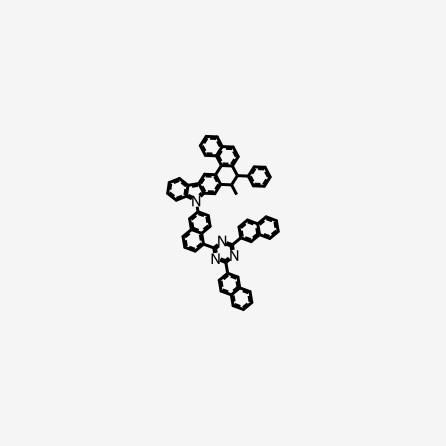 CC1c2cc3c(cc2-c2c(ccc4ccccc24)C1c1ccccc1)c1ccccc1n3-c1ccc2c(-c3nc(-c4ccc5ccccc5c4)nc(-c4ccc5ccccc5c4)n3)cccc2c1